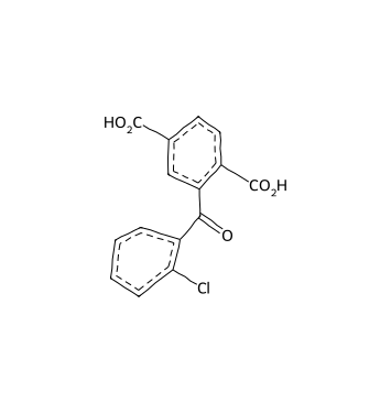 O=C(O)c1ccc(C(=O)O)c(C(=O)c2ccccc2Cl)c1